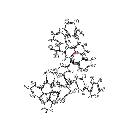 CC1(C)c2ccccc2-c2ccc(N(c3cccc(N(c4ccc(-c5ccccc5)cc4)c4cccc(C5(c6ccccc6)c6ccccc6-c6ccccc65)c4)c3)c3ccccc3-c3ccc(-c4ccccc4)cc3)cc21